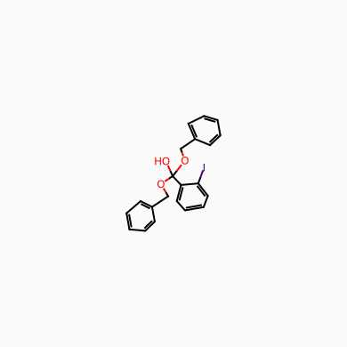 OC(OCc1ccccc1)(OCc1ccccc1)c1ccccc1I